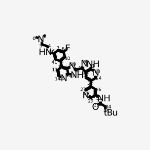 CN(C)CCNc1cc(F)cc(-c2ccnc3[nH]c(-c4n[nH]c5ncc(-c6cncc(NC(=O)CC(C)(C)C)c6)cc45)nc23)c1